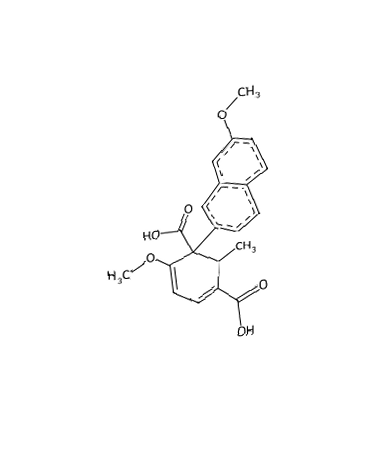 COC1=CC=C(C(=O)O)C(C)C1(C(=O)O)c1ccc2ccc(OC)cc2c1